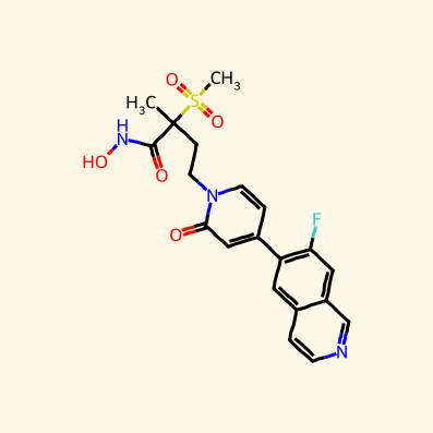 CC(CCn1ccc(-c2cc3ccncc3cc2F)cc1=O)(C(=O)NO)S(C)(=O)=O